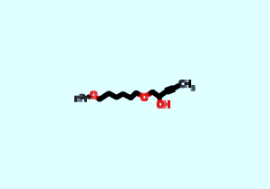 CC#CC(O)COCCCCCCOCCC